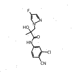 CC(O)(Cn1cc(F)cn1)C(=O)Nc1ccc(C#N)c(Cl)c1